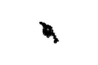 COc1ccc2c(O[C@H]3CC[C@H](C(=O)N[C@]4(C(=O)O)C[C@H]4/C=C\CCCCN(C)C=O)C3)cc(-c3nc(C(C)C)cs3)nc2c1